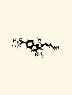 CC(C)c1ccc2c(c1)nc(N)c1nc(CCCO)[nH]c12